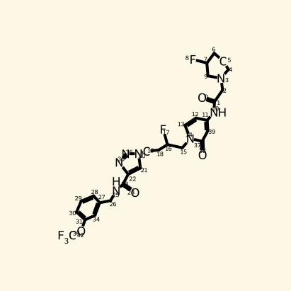 O=C(CN1CCCC(F)C1)Nc1ccn(CC(F)CCn2cc(C(=O)NCc3cccc(OC(F)(F)F)c3)nn2)c(=O)c1